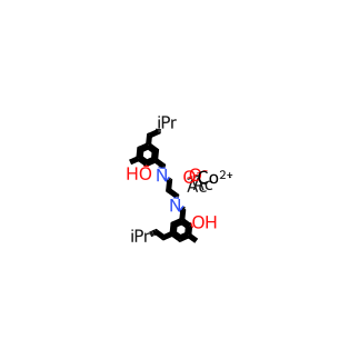 CC(=O)[O-].CC(=O)[O-].Cc1cc(CCC(C)C)cc(C=NCCCN=Cc2cc(CCC(C)C)cc(C)c2O)c1O.[Co+2]